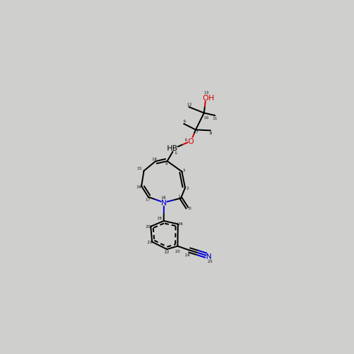 C=C1/C=C\C(BOC(C)(C)C(C)(C)O)=C/C/C=C\N1c1cccc(C#N)c1